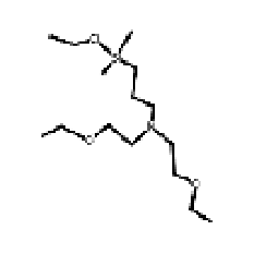 CCOCCN(CCC[Si](C)(C)OCC)CCOCC